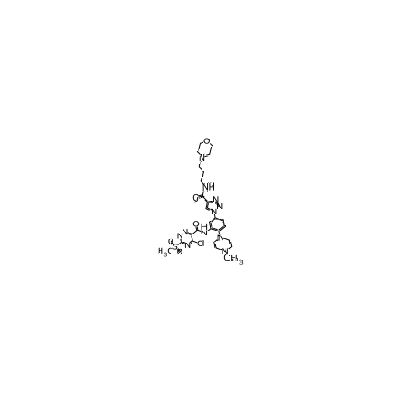 CN1CCN(c2ccc(-n3cc(C(=O)NCCCN4CCOCC4)nn3)cc2NC(=O)c2nnc(S(C)(=O)=O)nc2Cl)CC1